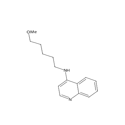 COCCCCCNc1ccnc2ccccc12